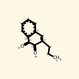 CCCC1=Cc2ccccc2C(=O)C1=O